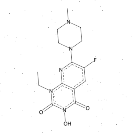 CCn1c(=O)n(O)c(=O)c2cc(F)c(N3CCN(C)CC3)nc21